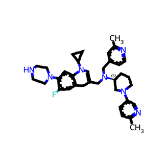 Cc1ccc(N2CCC[C@H](N(CC3=CN(C4CC4)c4cc(N5CCNCC5)c(F)cc4C3)Cc3ccnc(C)c3)C2)cn1